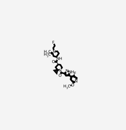 COc1cc(-c2cc(C(=O)N3CC[C@H](C(=O)N[C@H]4CCN(CCF)C(C)(C)C4)CC34CC4)n[nH]2)c(F)cn1